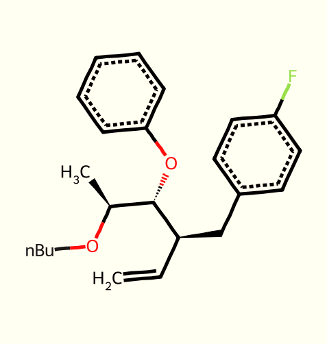 C=C[C@H](Cc1ccc(F)cc1)[C@@H](Oc1ccccc1)[C@H](C)OCCCC